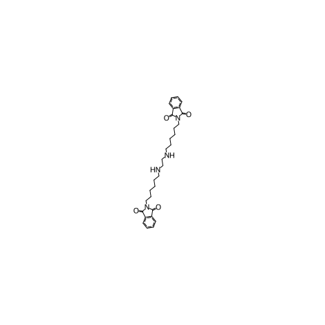 O=C1c2ccccc2C(=O)N1CCCCCCNCCNCCCCCCN1C(=O)c2ccccc2C1=O